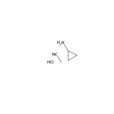 CC#N.Cl.NC1CC1